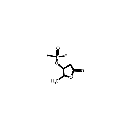 CC1OC(=O)CC1OP(=O)(F)F